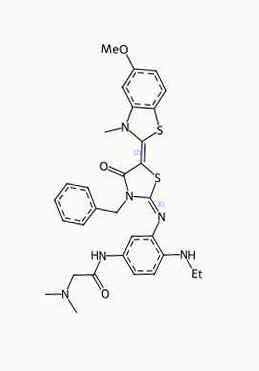 CCNc1ccc(NC(=O)CN(C)C)cc1/N=C1/S/C(=C2\Sc3ccc(OC)cc3N2C)C(=O)N1Cc1ccccc1